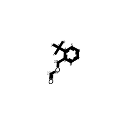 CC(C)(C)c1ccccc1CO[C]=O